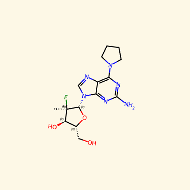 C[C@@]1(F)[C@H](O)[C@@H](CO)O[C@H]1n1cnc2c(N3CCCC3)nc(N)nc21